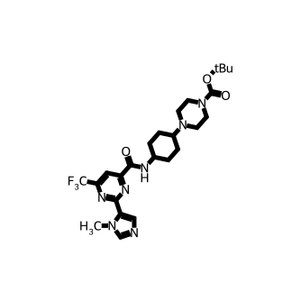 Cn1cncc1-c1nc(C(=O)NC2CCC(N3CCN(C(=O)OC(C)(C)C)CC3)CC2)cc(C(F)(F)F)n1